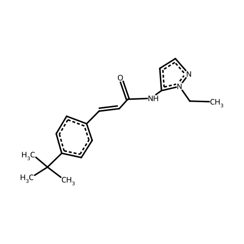 CCn1nccc1NC(=O)/C=C/c1ccc(C(C)(C)C)cc1